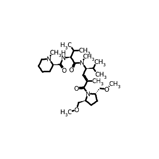 COC[C@@H]1CC[C@@H](COC)N1C(=O)/C(C)=C/[C@H](C(C)C)N(C)C(=O)[C@@H](NC(=O)[C@H]1CCCCN1C)C(C)C